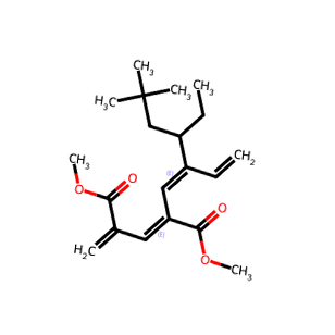 C=C/C(=C\C(=C/C(=C)C(=O)OC)C(=O)OC)C(CC)CC(C)(C)C